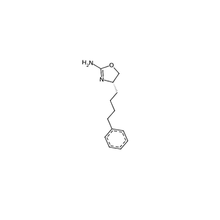 NC1=N[C@@H](CCCCc2ccccc2)CO1